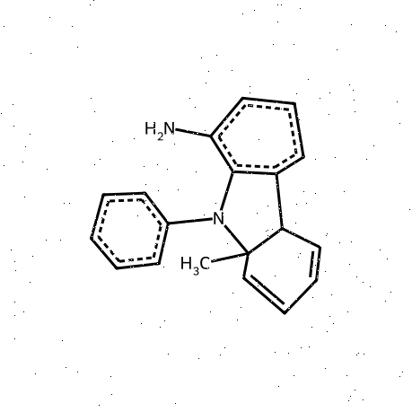 CC12C=CC=CC1c1cccc(N)c1N2c1ccccc1